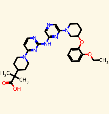 CCOc1ccccc1O[C@@H]1CCCN(c2cncc(Nc3nccc(N4CCC(C(C)(C)C(=O)O)CC4)n3)n2)C1